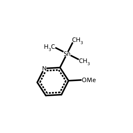 COc1cccn[c]1[Sn]([CH3])([CH3])[CH3]